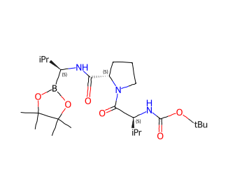 CC(C)[C@H](NC(=O)OC(C)(C)C)C(=O)N1CCC[C@H]1C(=O)N[C@@H](B1OC(C)(C)C(C)(C)O1)C(C)C